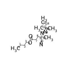 CCCCOC(=O)CCC(C)(C#N)N=NC(C)(C)CC